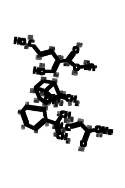 C=C(C)c1ccccc1.C=C1CCC2CC1C2(C)C.C=CC(=O)OC.CCCOC(=O)C(C=CC(=O)O)=CO